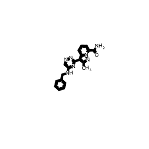 Cc1nn2c(C(N)=O)cccc2c1-c1nncc(NCc2ccccc2)n1